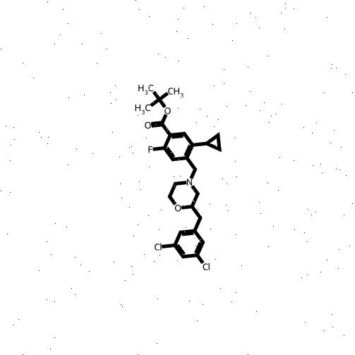 CC(C)(C)OC(=O)c1cc(C2CC2)c(CN2CCOC(Cc3cc(Cl)cc(Cl)c3)C2)cc1F